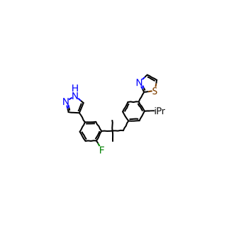 CC(C)c1cc(CC(C)(C)c2cc(-c3cn[nH]c3)ccc2F)ccc1-c1nccs1